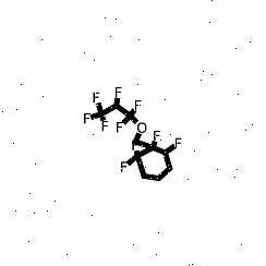 FC(C(F)(F)F)C(F)(F)OCC1(F)C(F)CCCC1(F)F